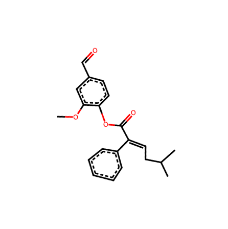 COc1cc(C=O)ccc1OC(=O)C(=CCC(C)C)c1ccccc1